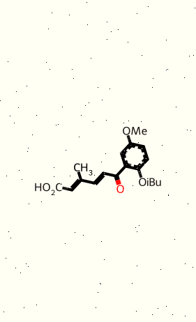 COc1ccc(OCC(C)C)c(C(=O)/C=C/C(C)=C/C(=O)O)c1